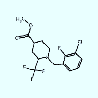 COC(=O)C1CCN(Cc2cccc(Cl)c2F)C(C(F)(F)F)C1